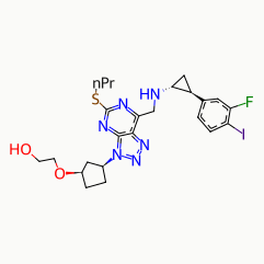 CCCSc1nc(CN[C@@H]2C[C@H]2c2ccc(I)c(F)c2)c2nnn([C@H]3CC[C@@H](OCCO)C3)c2n1